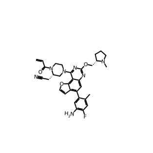 C=CC(=O)N1CCN(c2nc(OC[C@@H]3CCCN3C)nc3cc(-c4cc(N)c(F)cc4C)c4ccoc4c23)C[C@@H]1CC#N